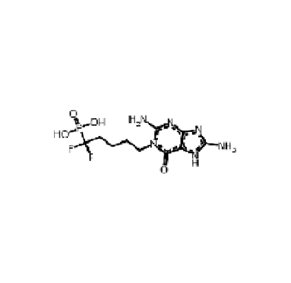 Nc1nc2nc(N)n(CCCCC(F)(F)P(=O)(O)O)c(=O)c2[nH]1